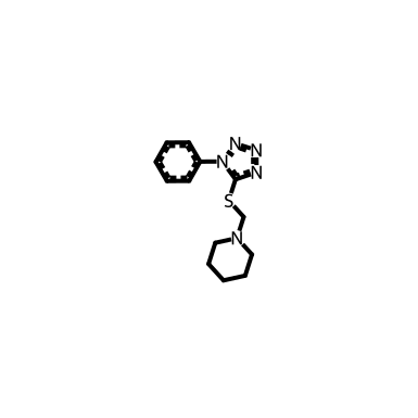 c1ccc(-n2nnnc2SCN2CCCCC2)cc1